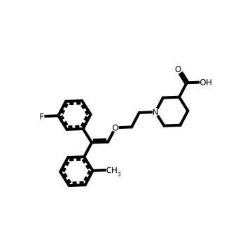 Cc1ccccc1C(=COCCN1CCCC(C(=O)O)C1)c1cccc(F)c1